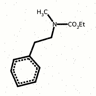 CCOC(=O)N(C)CCc1ccccc1